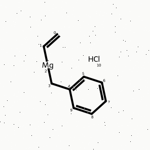 C=[CH][Mg][CH2]c1ccccc1.Cl